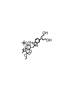 CCOC(=O)[C@@H](NC(=O)[C@H](Cc1nc2cc(N(CCO)CCO)ccc2n1C)NC(=O)OC(C)(C)C)C(C)C